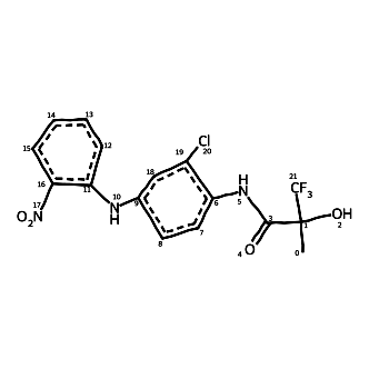 CC(O)(C(=O)Nc1ccc(Nc2ccccc2[N+](=O)[O-])cc1Cl)C(F)(F)F